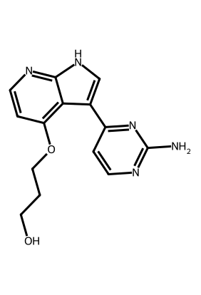 Nc1nccc(-c2c[nH]c3nccc(OCCCO)c23)n1